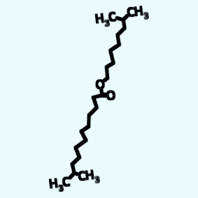 CC(C)CCCCCCCCCC(=O)OCCCCCCCC(C)C